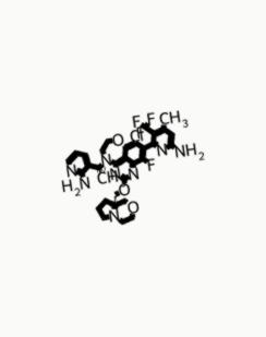 Cc1cc(N)nc(-c2c(Cl)c3c4c(nc(OC[C@@]56CCCN5CCOC6)nc4c2F)N([C@H](C)c2cccnc2N)CCO3)c1C(F)(F)F